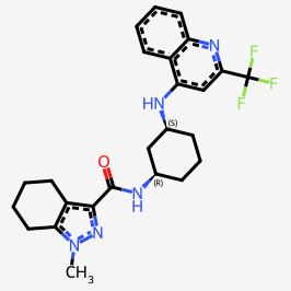 Cn1nc(C(=O)N[C@@H]2CCC[C@H](Nc3cc(C(F)(F)F)nc4ccccc34)C2)c2c1CCCC2